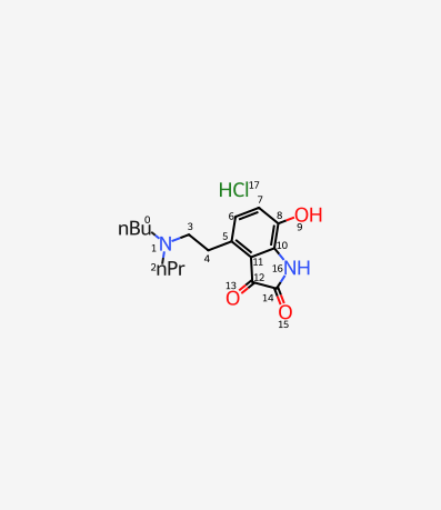 CCCCN(CCC)CCc1ccc(O)c2c1C(=O)C(=O)N2.Cl